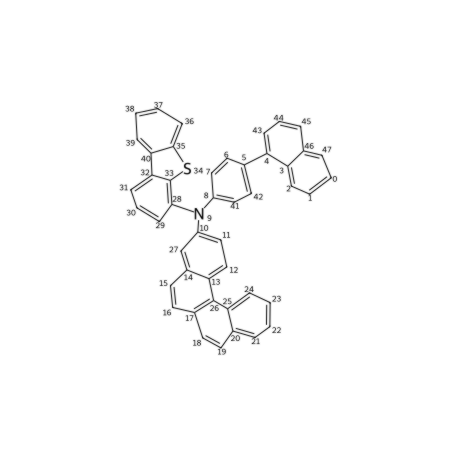 c1ccc2c(-c3ccc(N(c4ccc5c(ccc6ccc7ccccc7c65)c4)c4cccc5c4sc4ccccc45)cc3)cccc2c1